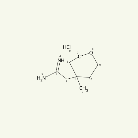 CC1(CC(=N)N)CCOCC1.Cl